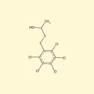 CC(O)SSc1c(Cl)c(Cl)c(Cl)c(Cl)c1Cl